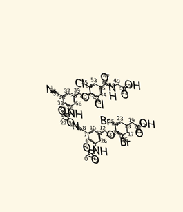 CS(=O)(=O)Nc1cc(C#N)cc(COc2c(Br)cc(CC(=O)O)cc2Br)c1.CS(=O)(=O)Nc1cc(C#N)cc(COc2c(Cl)cc(C(=O)NCC(=O)O)cc2Cl)c1